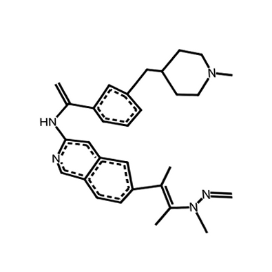 C=NN(C)/C(C)=C(\C)c1ccc2cnc(NC(=C)c3cccc(CC4CCN(C)CC4)c3)cc2c1